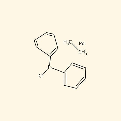 CC.ClP(c1ccccc1)c1ccccc1.[Pd]